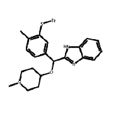 CCSc1cc(C(OC2CCN(C)CC2)c2nc3ccccc3[nH]2)ccc1C